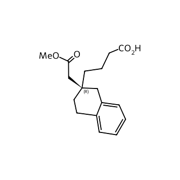 COC(=O)C[C@]1(CCCC(=O)O)CCc2ccccc2C1